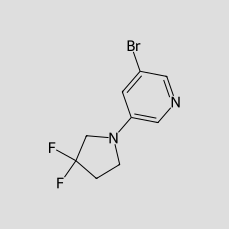 FC1(F)CCN(c2cncc(Br)c2)C1